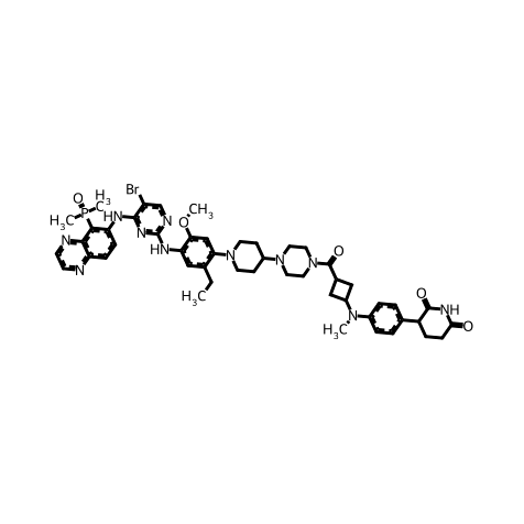 CCc1cc(Nc2ncc(Br)c(Nc3ccc4nccnc4c3P(C)(C)=O)n2)c(OC)cc1N1CCC(N2CCN(C(=O)C3CC(N(C)c4ccc(C5CCC(=O)NC5=O)cc4)C3)CC2)CC1